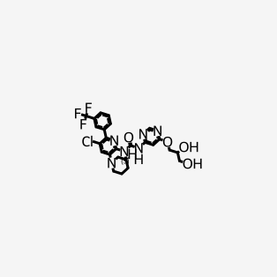 O=C(Nc1cc(OCC(O)CO)ncn1)N1c2nc(-c3cccc(C(F)(F)F)c3)c(Cl)cc2N2CCC[C@H]1C2